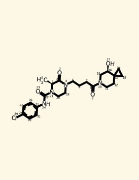 C[C@H]1C(=O)N(CCCC(=O)N2CCC3(CC3)[C@H](O)C2)CCN1C(=O)Nc1ccc(Cl)cc1